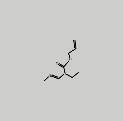 C=CCOC(=O)N(/C=N/C)CC